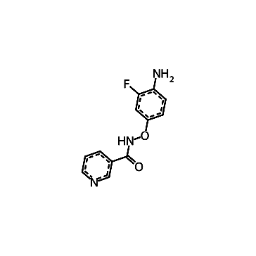 Nc1ccc(ONC(=O)c2cccnc2)cc1F